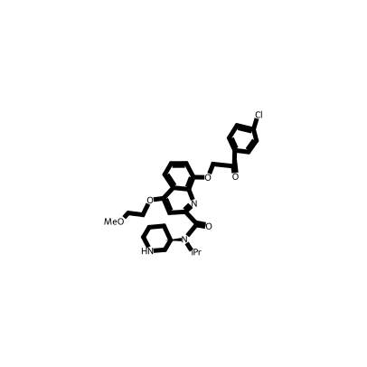 COCCOc1cc(C(=O)N(C(C)C)[C@@H]2CCCNC2)nc2c(OCC(=O)c3ccc(Cl)cc3)cccc12